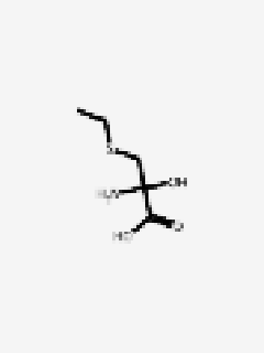 CCSCC(N)(O)C(=O)O